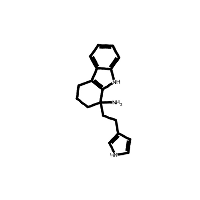 NC1(CCc2cc[nH]c2)CCCc2c1[nH]c1ccccc21